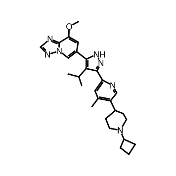 COc1cc(-c2[nH]nc(-c3cc(C)c(C4CCN(C5CCC5)CC4)cn3)c2C(C)C)cn2ncnc12